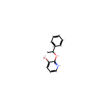 CC(Oc1ncccc1Br)c1ccccc1